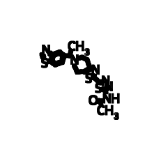 CC(=O)Nc1nnc(-c2nc3c(s2)CCN(C(C)c2ccc4scnc4c2)CC3)s1